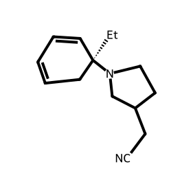 CC[C@@]1(N2CCC(CC#N)C2)C=CC=CC1